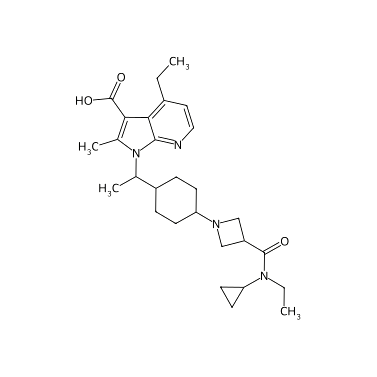 CCc1ccnc2c1c(C(=O)O)c(C)n2C(C)C1CCC(N2CC(C(=O)N(CC)C3CC3)C2)CC1